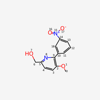 COc1ccc(CO)nc1-c1cccc([N+](=O)[O-])c1